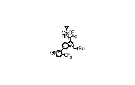 CC(C)(C)Cn1cc([C@H](NS(=O)(=O)C2CC2)C(F)F)c2ccc(-c3c[n+]([O-])ccc3C(F)(F)F)cc21